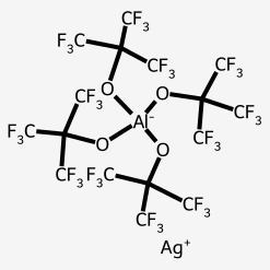 FC(F)(F)C([O][Al-]([O]C(C(F)(F)F)(C(F)(F)F)C(F)(F)F)([O]C(C(F)(F)F)(C(F)(F)F)C(F)(F)F)[O]C(C(F)(F)F)(C(F)(F)F)C(F)(F)F)(C(F)(F)F)C(F)(F)F.[Ag+]